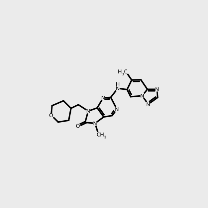 Cc1cc2ncnn2cc1Nc1ncc2c(n1)n(CC1CCOCC1)c(=O)n2C